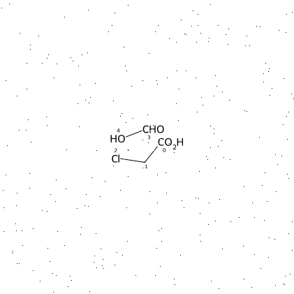 O=C(O)CCl.O=CO